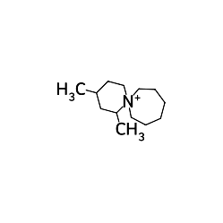 CC1CC[N+]2(CCCCCC2)C(C)C1